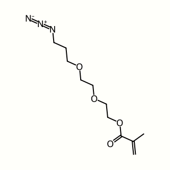 C=C(C)C(=O)OCCOCCOCCCN=[N+]=[N-]